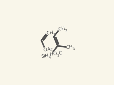 C=COC(C)=O.CC=C(C)C(=O)O.[SiH4]